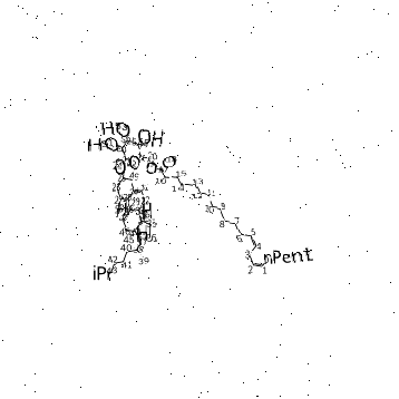 CCCCC/C=C\C/C=C\CCCCCCCCCCCC(=O)OCC1O[C@@H](O[C@H]2CC[C@@]3(C)C(=CC[C@H]4[C@@H]5CC[C@H]([C@H](C)CCCC(C)C)[C@@]5(C)CC[C@@H]43)C2)C(O)C(O)[C@@H]1O